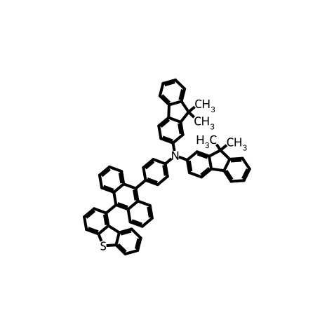 CC1(C)c2ccccc2-c2ccc(N(c3ccc(-c4c5ccccc5c(-c5cccc6sc7ccccc7c56)c5ccccc45)cc3)c3ccc4c(c3)C(C)(C)c3ccccc3-4)cc21